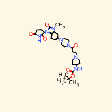 Cn1c(=O)n(C2CCC(=O)NC2=O)c2ccc(N3CCN(C(=O)CCN4CCC(NC(=O)OC(C)(C)C)CC4)CC3)cc21